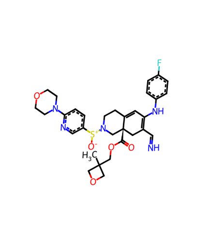 CC1(COC(=O)[C@]23CC(C=N)=C(Nc4ccc(F)cc4)C=C2CCN([S+]([O-])c2ccc(N4CCOCC4)nc2)C3)COC1